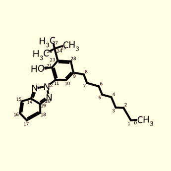 CCCCCCCCCc1cc(-n2nc3ccccc3n2)c(O)c(C(C)(C)C)c1